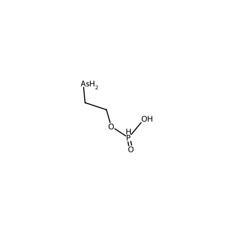 O=[PH](O)OCC[AsH2]